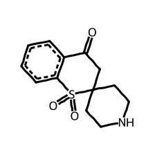 O=C1CC2(CCNCC2)S(=O)(=O)c2ccccc21